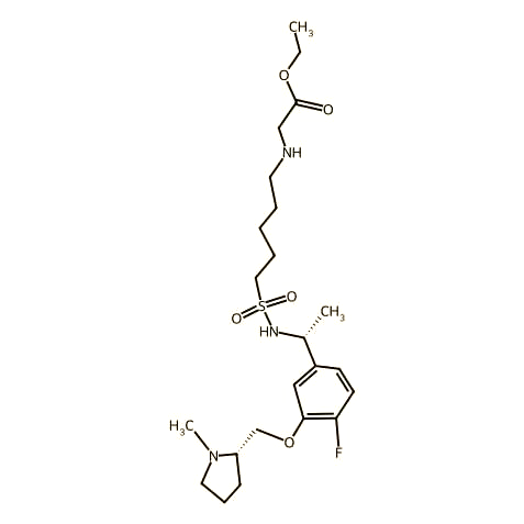 CCOC(=O)CNCCCCCS(=O)(=O)N[C@H](C)c1ccc(F)c(OC[C@@H]2CCCN2C)c1